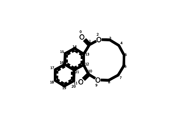 O=C1OCCCCCCOC(=O)c2c1ccc1ccccc21